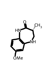 COc1ccc2c(c1)NC[C@@H](C)C(=O)N2